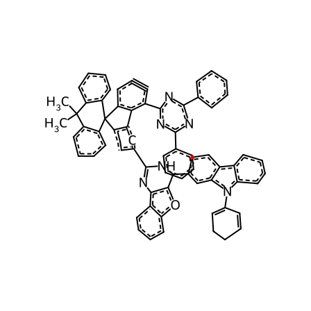 CC1(C)c2ccccc2C2(c3ccc(C4=Nc5c(oc6ccccc56)C(c5ccc6c7ccccc7n(C7=CCCC=C7)c6c5)N4)cc3-c3c(-c4nc(-c5ccccc5)nc(-c5ccccc5)n4)c#ccc32)c2ccccc21